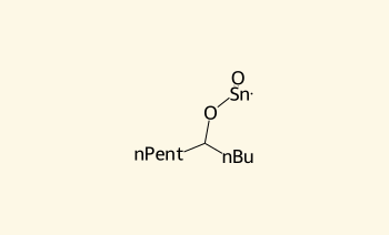 CCCCCC(CCCC)[O][Sn]=[O]